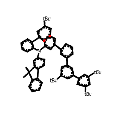 CC(C)(C)c1cc(-c2cccc(-c3cccc(N(c4ccc5c(c4)C(C)(C)c4ccccc4-5)c4ccccc4-c4cccc(C(C)(C)C)c4)c3)c2)cc(-c2cc(C(C)(C)C)cc(C(C)(C)C)c2)c1